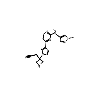 Cn1cc(Nc2nccc(-c3ccn(C4(CC#N)CNC4)n3)n2)cn1